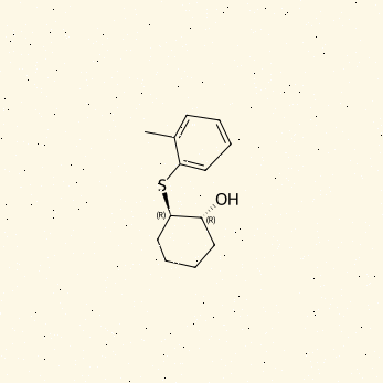 Cc1ccccc1S[C@@H]1CCCC[C@H]1O